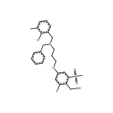 Cc1cccc(CN(CCCOc2cc(F)c(CO)c(S(C)(=O)=O)c2)Cc2ccccc2)c1Cl